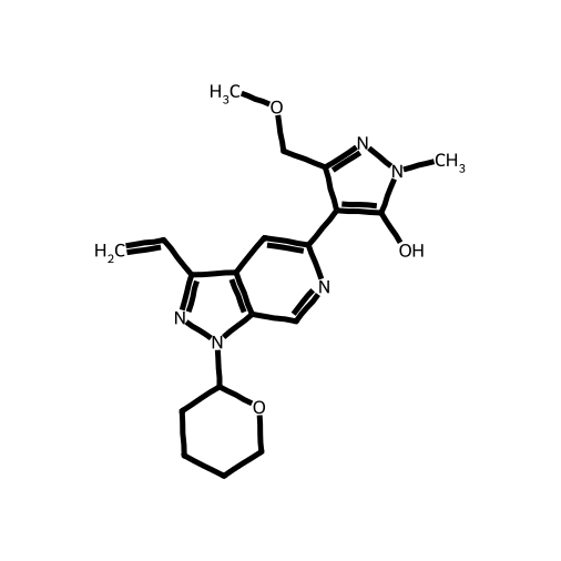 C=Cc1nn(C2CCCCO2)c2cnc(-c3c(COC)nn(C)c3O)cc12